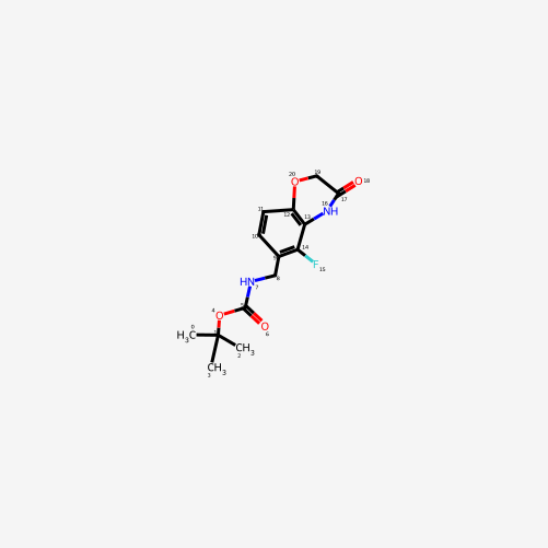 CC(C)(C)OC(=O)NCc1ccc2c(c1F)NC(=O)CO2